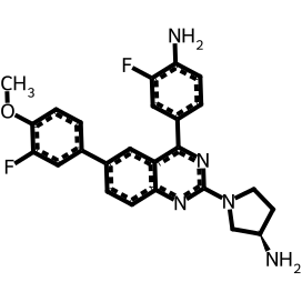 COc1ccc(-c2ccc3nc(N4CC[C@@H](N)C4)nc(-c4ccc(N)c(F)c4)c3c2)cc1F